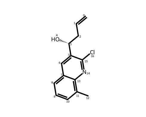 C=CC[C@@H](O)c1cc2cccc(C)c2nc1Cl